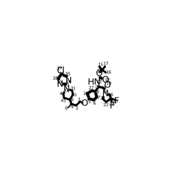 C[C@H](CCOc1ccc([C@H](NC(=O)OC(C)(C)C)C(=O)N2CCC(F)(F)C2)cc1)C1CCN(c2ncc(Cl)cn2)CC1